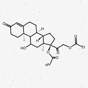 CCCC(=O)O[C@]1(C(=O)COC(=O)CC)CC[C@H]2[C@@H]3CCC4=CC(=O)CC[C@]4(C)C3C(O)C[C@@]21C